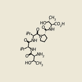 CC(C)[C@H](NC(=O)[C@@H](N)[C@@H](C)O)C(=O)N[C@H](C(=O)N1CCC[C@H]1C(=O)N[C@H](C(=O)O)[C@@H](C)O)C(C)C